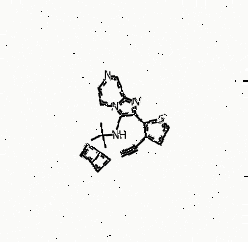 C#Cc1ccsc1-c1nc2cnccn2c1NC(C)(C)C.c1cc2ccc1-2